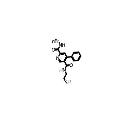 CCCNC(=O)c1cc(-c2ccccc2)c(C(=O)NCCS)cn1